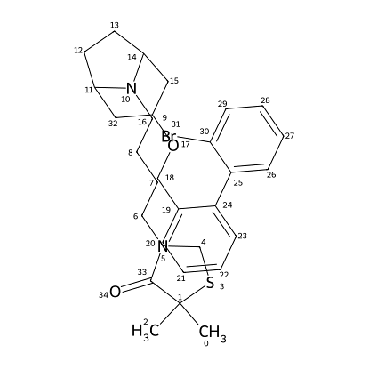 CC1(C)SCN(CCCCN2C3CCC2CC(OCc2ccccc2-c2ccccc2Br)C3)C1=O